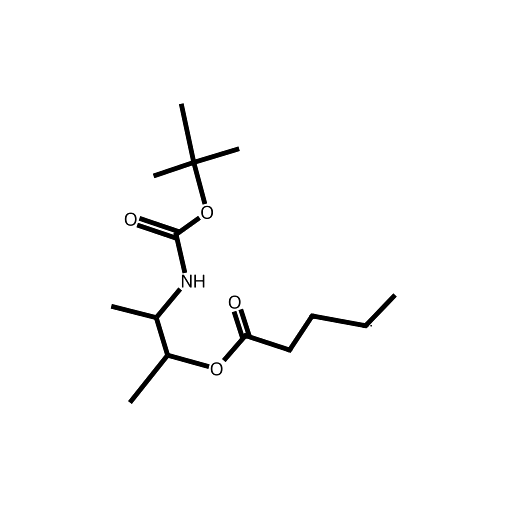 C[CH]CCC(=O)OC(C)C(C)NC(=O)OC(C)(C)C